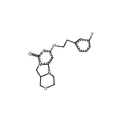 O=c1nc(OCCc2cccc(F)c2)cc2n1CC1COCCN21